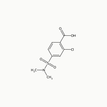 CN(C)S(=O)(=O)c1ccc(C(=O)O)c(Cl)c1